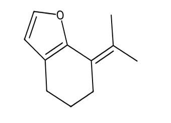 CC(C)=C1CCCc2ccoc21